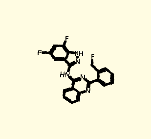 FCc1ccccc1-c1nc(Nc2n[nH]c3c(F)cc(F)cc23)c2ccccc2n1